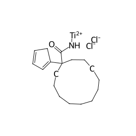 O=C([NH][Ti+2])C1(C2=CC=CC2)CCCCCCCCCCC1.[Cl-].[Cl-]